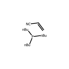 C=CC#N.CCCCP(CCCC)CCCC